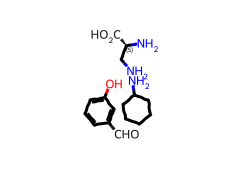 NC1CCCCC1.NC[C@H](N)C(=O)O.O=Cc1cccc(O)c1